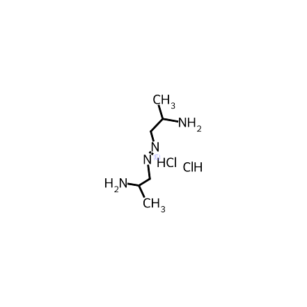 CC(N)C/N=N/CC(C)N.Cl.Cl